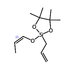 C=CC[Si]1(O/C=C\C)OC(C)(C)C(C)(C)O1